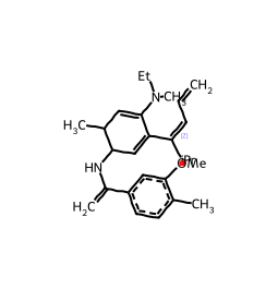 C=C/C=C(\C1=CC(NC(=C)c2ccc(C)c(OC)c2)C(C)C=C1N(C)CC)C(C)C